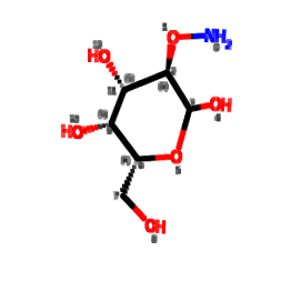 NO[C@H]1C(O)O[C@H](CO)[C@H](O)[C@@H]1O